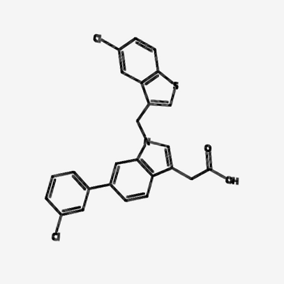 O=C(O)Cc1cn(Cc2csc3ccc(Cl)cc23)c2cc(-c3cccc(Cl)c3)ccc12